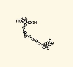 CCC(=C(c1ccc(O)cc1)c1ccc(OCCN2CCN(C(=O)CCOCCOCCOCCOCCNc3cccc4c3C(=O)N(C3CCC(=O)NC3=O)C4=O)CC2)cc1)c1ccc(O)cc1